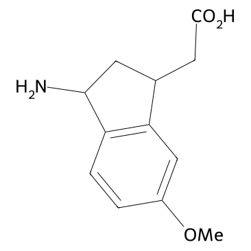 COc1ccc2c(c1)C(CC(=O)O)CC2N